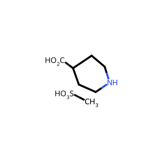 CS(=O)(=O)O.O=C(O)C1CCNCC1